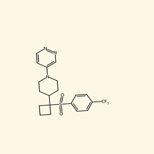 O=S(=O)(c1ccc(C(F)(F)F)cc1)C1(C2CCN(c3ccnnc3)CC2)CCC1